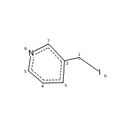 I[CH]c1cccnc1